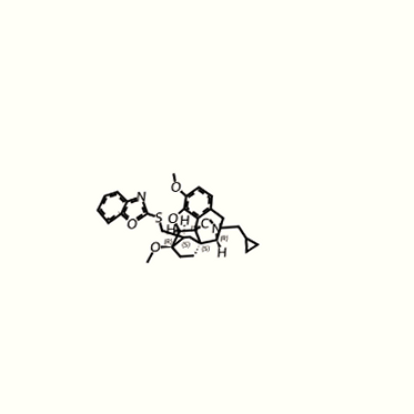 COc1ccc2c3c1O[C@H]1[C@@]4(OC)CC[C@@]5(C[C@@H]4CSc4nc6ccccc6o4)[C@@H](C2)N(CC2CC2)CC[C@]315